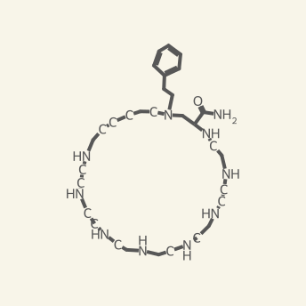 NC(=O)C1CN(CCc2ccccc2)CCCCCCNCCNCCNCCNCCNCCNCCNCCN1